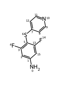 Nc1cc(F)c(Sc2ccncc2)c(F)c1